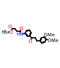 COc1ccc(CCC(=O)c2cccc(NC(=O)CCC(=O)OC(C)(C)C)c2)cc1OC